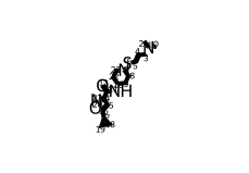 CN(C)C/C=C/SN1CCC(NC(=O)c2cc(C3CC3)on2)CC1